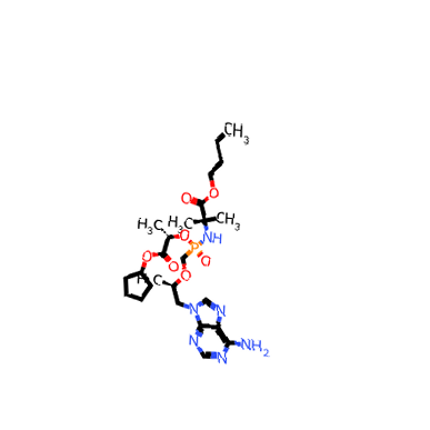 CCCCOC(=O)C(C)(C)NP(=O)(CO[C@H](C)Cn1cnc2c(N)ncnc21)O[C@@H](C)C(=O)OC1CCCC1